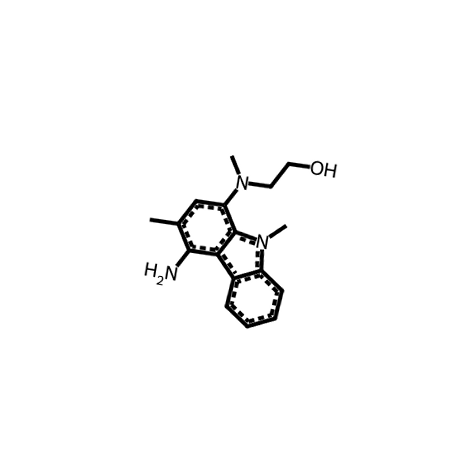 Cc1cc(N(C)CCO)c2c(c1N)c1ccccc1n2C